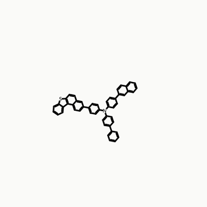 c1ccc(-c2ccc(N(c3ccc(-c4ccc5ccccc5c4)cc3)c3ccc(-c4ccc5c(ccc6sc7ccccc7c65)c4)cc3)cc2)cc1